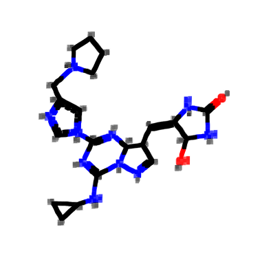 O=C1NC(=CC2C=NN3C(NC4CC4)=NC(n4cnc(CN5CCCC5)c4)=NC23)C(O)N1